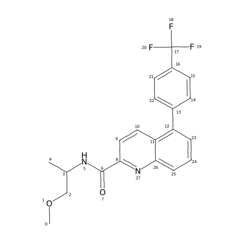 COCC(C)NC(=O)c1ccc2c(-c3ccc(C(F)(F)F)cc3)cccc2n1